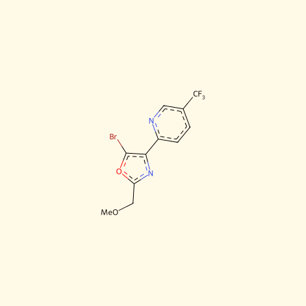 COCc1nc(-c2ccc(C(F)(F)F)cn2)c(Br)o1